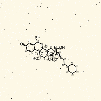 C[C@]12C[C@H](O)[C@@]3(F)[C@@H](C[C@H](F)C4=CC(=O)C=C[C@@]43C)[C@]1(C)C[C@H]1CN(CCC3CCCCC3)O[C@]12C(=O)CO